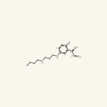 CCCCOCCCOc1ccc(C)c(C(=O)N=O)c1